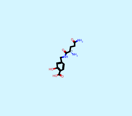 NC(=O)CC[C@H](N)C(=O)NCc1ccc(C(=O)O)c(O)c1